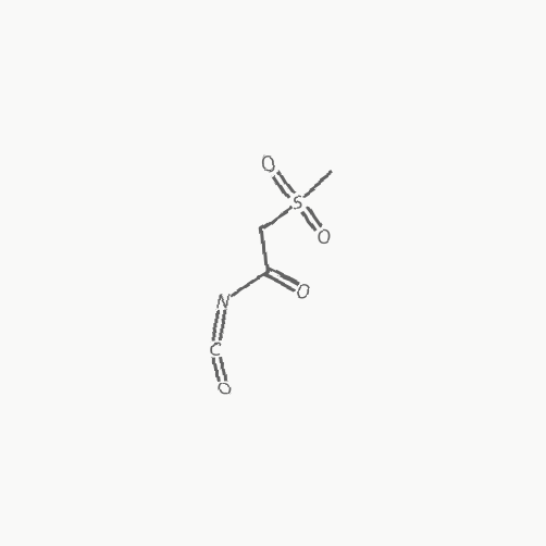 CS(=O)(=O)CC(=O)N=C=O